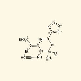 C#CNN1/C(=C(\CC)C(=O)OCC)NC(c2cccs2)CC1(C)CC